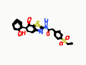 CCS(=O)(=O)c1ccc(CC(=O)Nc2nc3c(s2)C(=O)C(c2ccccc2O)CC3)cc1